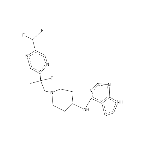 FC(F)c1cnc(C(F)(F)CN2CCC(Nc3ncnc4[nH]ccc34)CC2)cn1